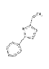 C=Cc1nc(-c2ccccc2)cs1